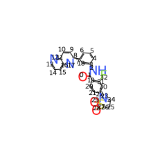 O=C(Nc1cccc(-c2ccc3ncccc3n2)c1)c1ccc(N2CCCS2(=O)=O)cc1F